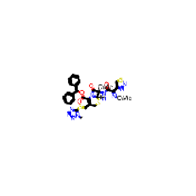 CON=C(C(=O)NC1(OC)C(=O)N2C(C(=O)OC(c3ccccc3)c3ccccc3)=C(CSc3nnnn3C)CS[C@H]21)c1csnn1